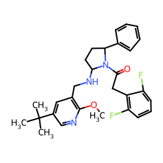 COc1ncc(C(C)(C)C)cc1CNC1CCC(c2ccccc2)N1C(=O)Cc1c(F)cccc1F